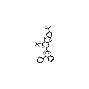 CC(=O)c1ccc(OC(CCC(=O)OC(c2ccccc2)c2ccccc2)NC(=O)OC(C)(C)C)cc1